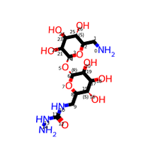 NCC1O[C@H](O[C@H]2OC(CNC(=O)NN)[C@@H](O)C(O)C2O)C(O)C(O)[C@@H]1O